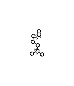 Cc1cc2ccccc2c2c1sc1c(-c3cccc(-c4cccc(-c5nc(-c6ccccc6)nc(-c6ccccc6)n5)c4)c3)cccc12